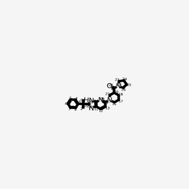 CC(C)(c1ccccc1)c1nc2ccc(N3CCCC(C(=O)N4CCCC4)C3)nc2[nH]1